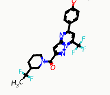 COc1ccc(-c2cc(C(F)(F)F)n3nc(C(=O)N4CCCC(C(C)(F)F)C4)cc3n2)cc1